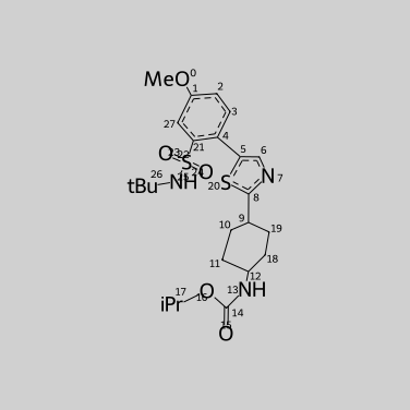 COc1ccc(-c2cnc(C3CCC(NC(=O)OC(C)C)CC3)s2)c(S(=O)(=O)NC(C)(C)C)c1